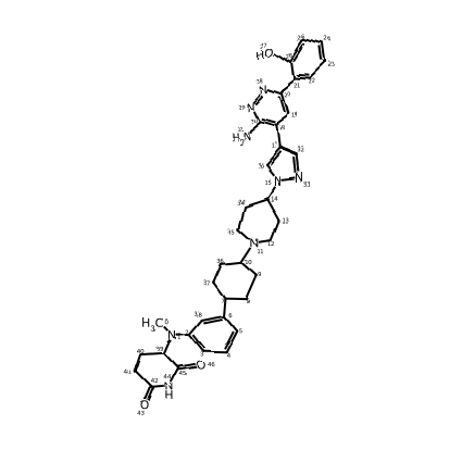 CN(c1cccc(C2CCC(N3CCC(n4cc(-c5cc(-c6ccccc6O)nnc5N)cn4)CC3)CC2)c1)C1CCC(=O)NC1=O